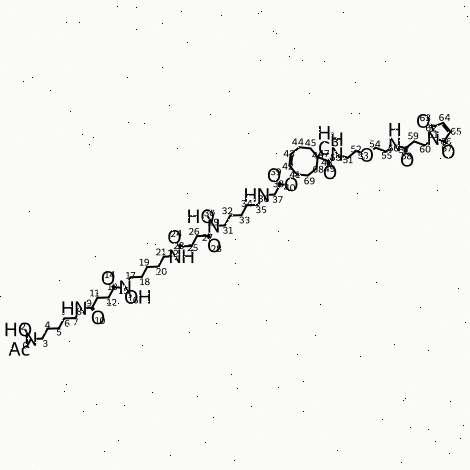 CC(=O)N(O)CCCCCNC(=O)CCC(=O)N(O)CCCCCNC(=O)CCC(=O)N(O)CCCCCNCC(=O)O[C@@H]1/C=C\CC[C@](C)(C(=O)NCCOCCNC(=O)CCN2C(=O)C=CC2=O)CC1